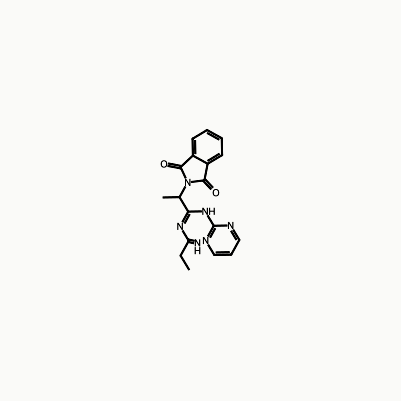 CCC(=N)/N=C(\Nc1ncccn1)C(C)N1C(=O)c2ccccc2C1=O